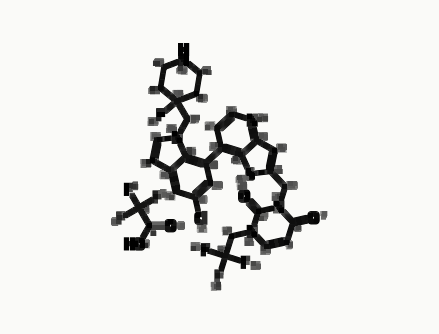 O=C(O)C(F)(F)F.O=c1ccn(CC(F)(F)F)c(=O)n1Cc1cc2nccc(-c3cc(Cl)cc4ccn(CC5(F)CCNCC5)c34)c2s1